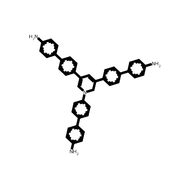 Nc1ccc(-c2ccc(C3=CN(c4ccc(-c5ccc(N)cc5)cc4)CC(c4ccc(-c5ccc(N)cc5)cc4)=C3)cc2)cc1